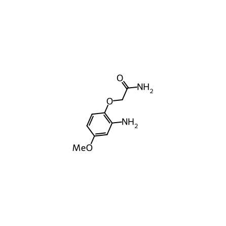 COc1ccc(OCC(N)=O)c(N)c1